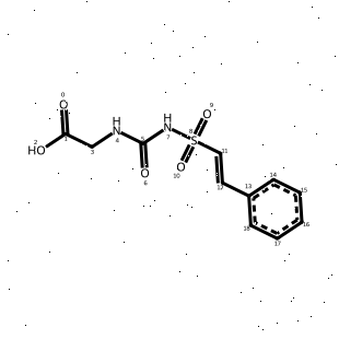 O=C(O)CNC(=O)NS(=O)(=O)C=Cc1ccccc1